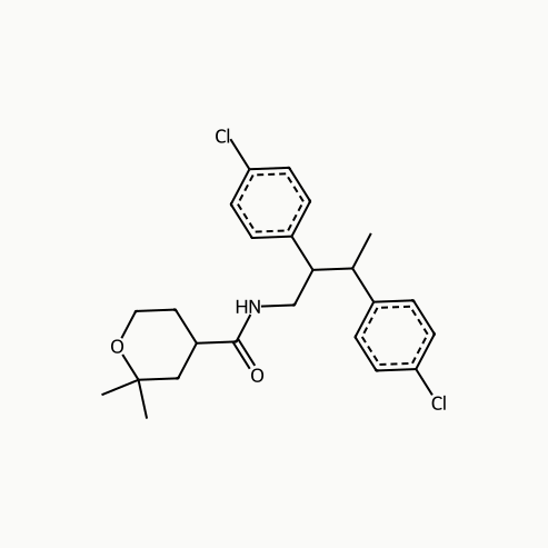 CC(c1ccc(Cl)cc1)C(CNC(=O)C1CCOC(C)(C)C1)c1ccc(Cl)cc1